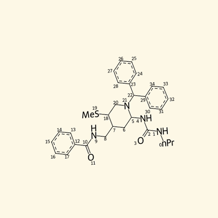 CCCNC(=O)NC1CC(CNC(=O)c2ccccc2)C(SC)CN1C(c1ccccc1)c1ccccc1